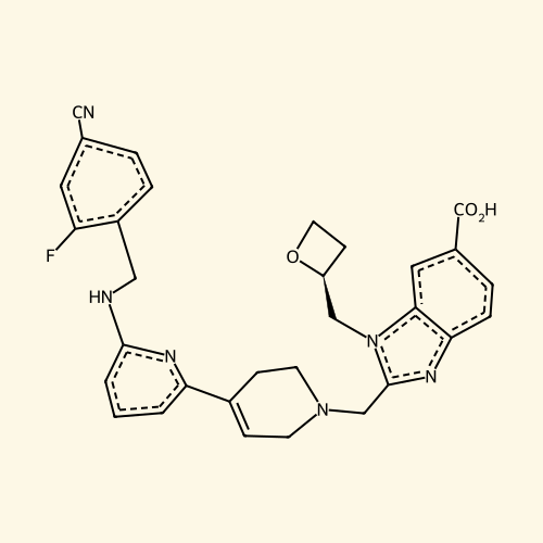 N#Cc1ccc(CNc2cccc(C3=CCN(Cc4nc5ccc(C(=O)O)cc5n4C[C@@H]4CCO4)CC3)n2)c(F)c1